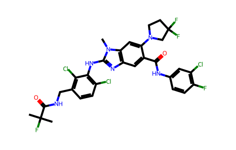 Cn1c(Nc2c(Cl)ccc(CNC(=O)C(C)(C)F)c2Cl)nc2cc(C(=O)Nc3ccc(F)c(Cl)c3)c(N3CCC(F)(F)C3)cc21